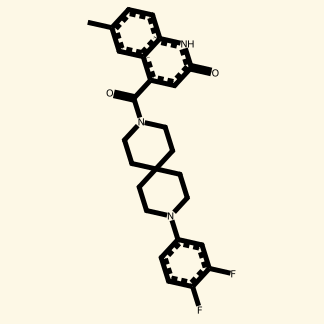 Cc1ccc2[nH]c(=O)cc(C(=O)N3CCC4(CC3)CCN(c3ccc(F)c(F)c3)CC4)c2c1